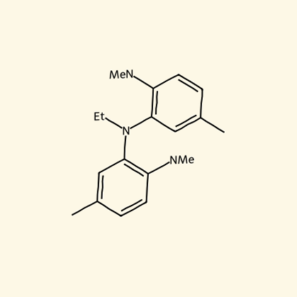 CCN(c1cc(C)ccc1NC)c1cc(C)ccc1NC